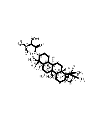 Br.CCCCCCCCC(C(=O)O[C@H]1CC[C@]2(C)[C@H]3CC[C@@H]4[C@H]5[C@H]6OC[C@@]5(CCC6(C)C)CC[C@@]4(C)[C@]3(C)CC[C@H]2C1(C)C)N(C)C